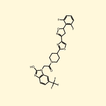 O=C(Cn1c(O)nc2ccc(C(F)(F)F)cc21)N1CCC(c2nc(C3=NOC(c4c(F)cccc4F)C3)cs2)CC1